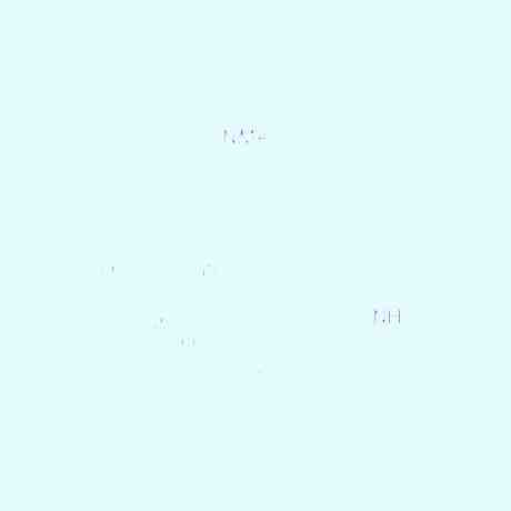 CNCCS(=O)(=O)OS(=O)(=O)CCN